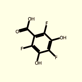 O=C(O)c1c(F)c(O)c(F)c(O)c1F